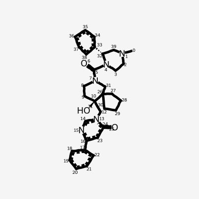 CN1CCN(C(=O)N2CC[C@@](O)(Cn3cnc(-c4ccccc4)cc3=O)C3(CCCC3)C2)[C@H](c2ccccc2)C1